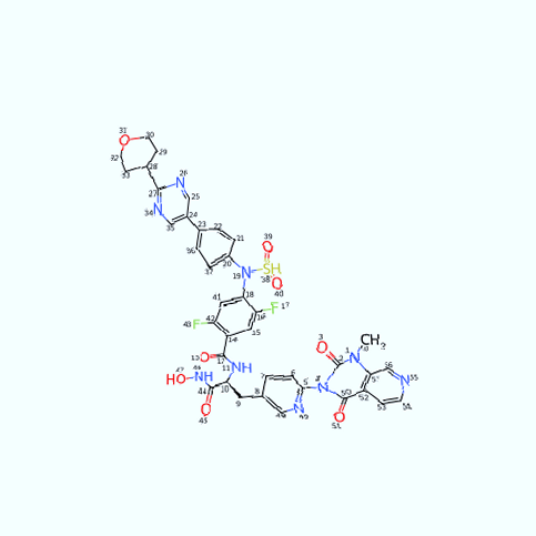 Cn1c(=O)n(-c2ccc(C[C@H](NC(=O)c3cc(F)c(N(c4ccc(-c5cnc(C6CCOCC6)nc5)cc4)[SH](=O)=O)cc3F)C(=O)NO)cn2)c(=O)c2ccncc21